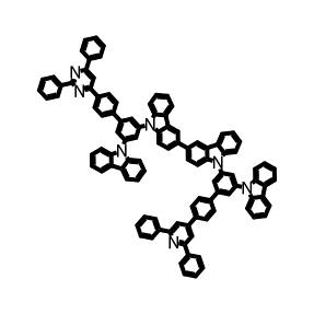 c1ccc(-c2cc(-c3ccc(-c4cc(-n5c6ccccc6c6ccccc65)cc(-n5c6ccccc6c6cc(-c7ccc8c(c7)c7ccccc7n8-c7cc(-c8ccc(-c9cc(-c%10ccccc%10)nc(-c%10ccccc%10)n9)cc8)cc(-n8c9ccccc9c9ccccc98)c7)ccc65)c4)cc3)cc(-c3ccccc3)n2)cc1